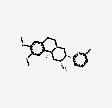 COc1cc2c(cc1OC)[C@@H]1C[C@@H](N)[C@@H](c3cccc(C)n3)CN1CC2